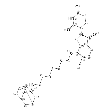 O=C1CCC(N2Cc3c(ccc(F)c3SCCCCCCCNC34CC5CC(CC(C5)C3)C4)C2=O)C(=O)N1